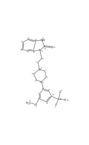 COc1cc(N2CCN(CCn3c(=O)[nH]c4ccccc43)CC2)cc(C(F)(F)F)c1